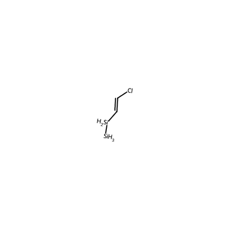 [SiH3][SiH2]C=CCl